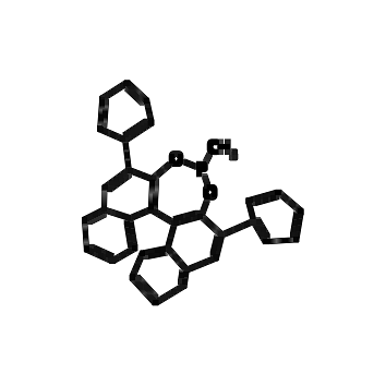 Cp1oc2c(-c3ccccc3)cc3ccccc3c2c2c(o1)c(-c1ccccc1)cc1ccccc12